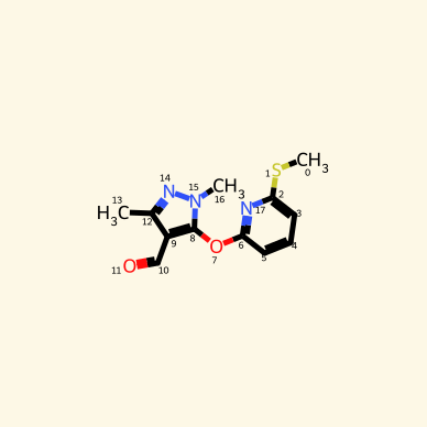 CSc1cccc(Oc2c(C=O)c(C)nn2C)n1